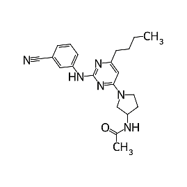 CCCCc1cc(N2CCC(NC(C)=O)C2)nc(Nc2cccc(C#N)c2)n1